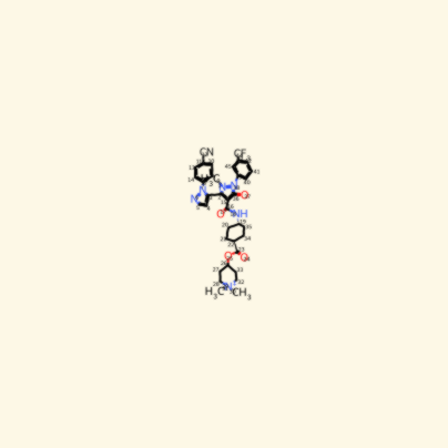 Cn1c(-c2ccnn2-c2ccc(C#N)cc2)c(C(=O)N[C@H]2CC[C@H](C(=O)OC3CC[N+](C)(C)CC3)CC2)c(=O)n1-c1cccc(C(F)(F)F)c1